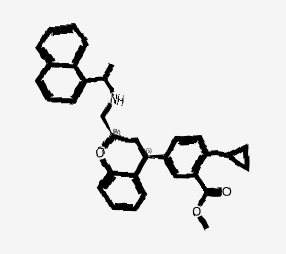 COC(=O)c1cc([C@@H]2C[C@H](CNC(C)c3cccc4ccccc34)Oc3ccccc32)ccc1C1CC1